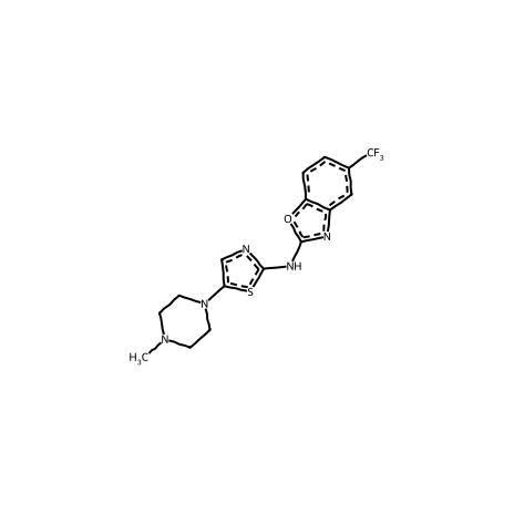 CN1CCN(c2cnc(Nc3nc4cc(C(F)(F)F)ccc4o3)s2)CC1